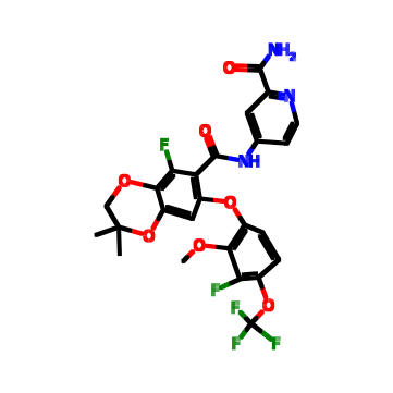 COc1c(Oc2cc3c(c(F)c2C(=O)Nc2ccnc(C(N)=O)c2)OCC(C)(C)O3)ccc(OC(F)(F)F)c1F